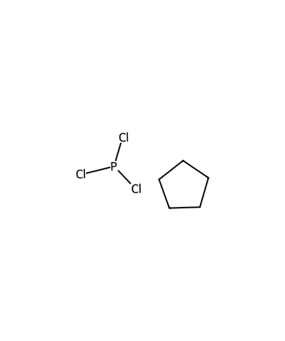 C1CCCC1.ClP(Cl)Cl